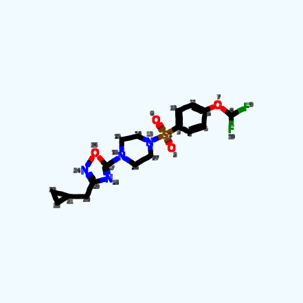 O=S(=O)(c1ccc(OC(F)F)cc1)N1CCN(c2nc(CC3CC3)no2)CC1